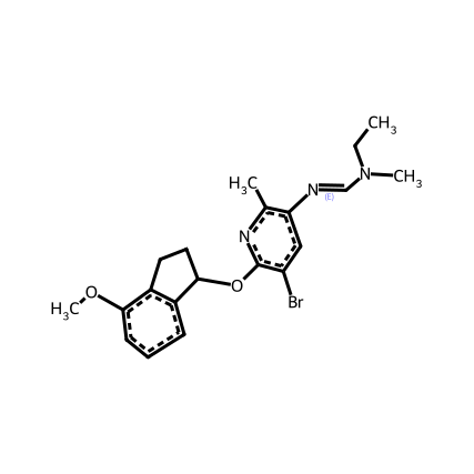 CCN(C)/C=N/c1cc(Br)c(OC2CCc3c(OC)cccc32)nc1C